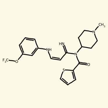 CN1CCC(N(C(=N)/C=C\Nc2cccc(OC(F)(F)F)c2)C(=O)c2cccs2)CC1